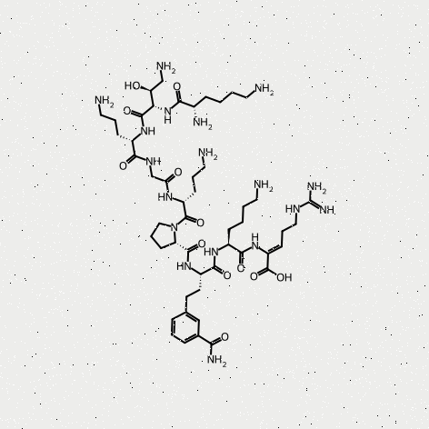 N=C(N)NCC/C=C(\NC(=O)[C@H](CCCCN)NC(=O)[C@H](CCc1cccc(C(N)=O)c1)NC(=O)[C@@H]1CCCN1C(=O)[C@@H](CCCN)NC(=O)CNC(=O)[C@H](CCCN)NC(=O)[C@@H](NC(=O)[C@@H](N)CCCCN)[C@@H](O)CN)C(=O)O